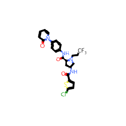 O=C(N[C@H]1CC(C(=O)Nc2ccc(-n3ccccc3=O)cc2)N(CCC(F)(F)F)C1)c1ccc(Cl)s1